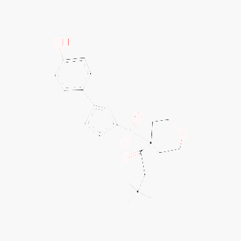 CC(C)(C)CC(=O)C1(S(=O)(=O)c2ccc(-c3ccc(O)cc3)s2)CCOCC1